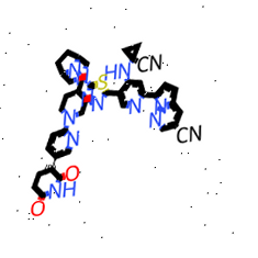 N#Cc1cnn2c(-c3cc(NC4(C#N)CC4)c(-c4nnc(N5CC6CCC(C5)N6CC5CCN(c6ccc([C@H]7CCC(=O)NC7=O)cn6)CC5)s4)cn3)ccc2c1